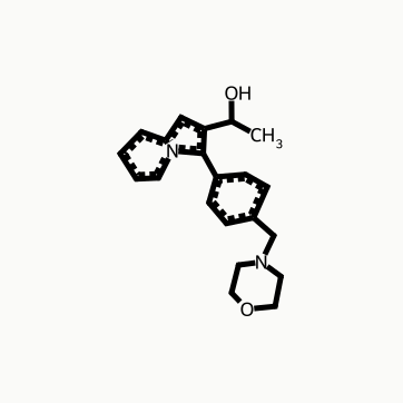 CC(O)c1cc2ccccn2c1-c1ccc(CN2CCOCC2)cc1